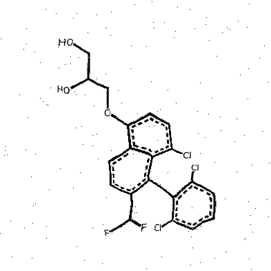 OCC(O)COc1ccc(Cl)c2c(-c3c(Cl)cccc3Cl)c(C(F)F)ccc12